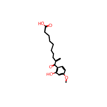 C=C(CCCCCCCC(=O)O)C(=O)c1ccc(OC)cc1O